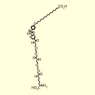 N[C@@H](CCCCNC(=O)COCCOCCNC(=O)COCCOCCNC(=O)c1cnc(NS(=O)(=O)c2ccc(OCCCCCCCCCCCCCCCC(=O)O)cc2)nc1)C(=O)O